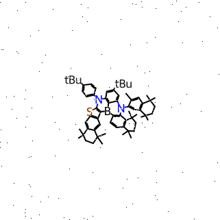 Cc1cc2c(cc1N1c3cc(C(C)(C)C)cc4c3B(c3ccc5c(c31)C(C)(C)CCC5(C)C)c1c(sc3cc5c(cc13)C(C)(C)CCC5(C)C)N4c1ccc(C(C)(C)C)cc1)C(C)(C)CCC2(C)C